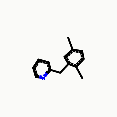 Cc1ccc(C)c(Cc2ccccn2)c1